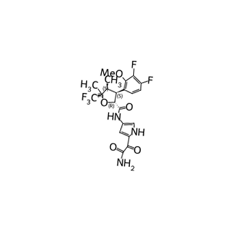 COc1c([C@H]2[C@H](C(=O)Nc3c[nH]c(C(=O)C(N)=O)c3)O[C@@](C)(C(F)(F)F)[C@H]2C)ccc(F)c1F